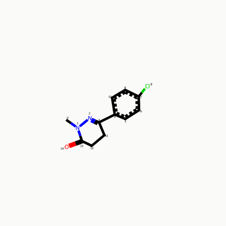 CN1N=C(c2ccc(Cl)cc2)CCC1=O